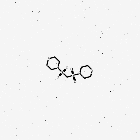 O=S(=O)(CS(=O)(=O)N1CCSCC1)N1CCSCC1